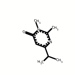 Cc1nc(C(C)C)cc(=O)n1C